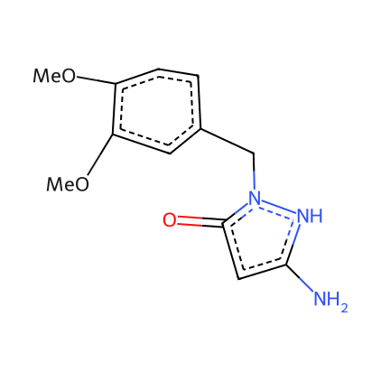 COc1ccc(Cn2[nH]c(N)cc2=O)cc1OC